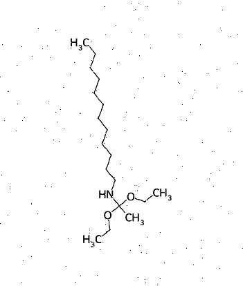 CCCCCCCCCCCCNC(C)(OCC)OCC